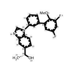 COc1c(F)cc(F)cc1-c1cccc(-n2cnc3cc([C@@H](C)O)ccc32)c1